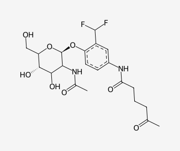 CC(=O)CCCC(=O)Nc1ccc(O[C@@H]2OC(CO)[C@@H](O)C(O)C2NC(C)=O)c(C(F)F)c1